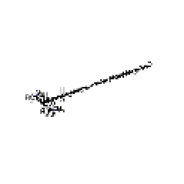 C/C(=N/O)C(C)(C)NCCC(CCNC(=O)CCCC(=O)NCCOCCOCCOCCOCCOCCOCCOCCOCCOCCOCCOCCOCCC=O)CCNC(C)(C)/C(C)=N\O